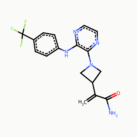 C=C(C(N)=O)C1CN(c2nccnc2Nc2ccc(C(F)(F)F)cc2)C1